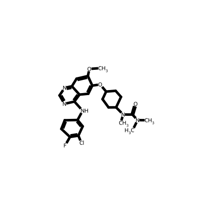 COc1cc2ncnc(Nc3ccc(F)c(Cl)c3)c2cc1OC1CCC(N(C)C(=O)N(C)C)CC1